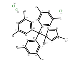 CCC1=C[C]([Ti+3])(C(c2cc(C)cc(C)c2)(c2cc(C)cc(C)c2)c2cc(C)cc(C)c2)C=C1.[Cl-].[Cl-].[Cl-]